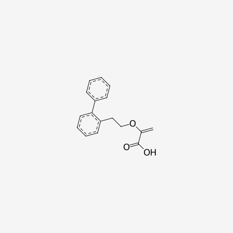 C=C(OCCc1ccccc1-c1ccccc1)C(=O)O